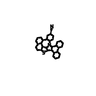 N#Cc1ccc2c(c1)c1cccc3ccc4sc5c6c7ccccc7c7ccccc7c6n2c5c4c31